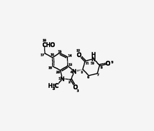 Cn1c(=O)n([C@H]2CCC(=O)NC2=O)c2ccc(CC=O)cc21